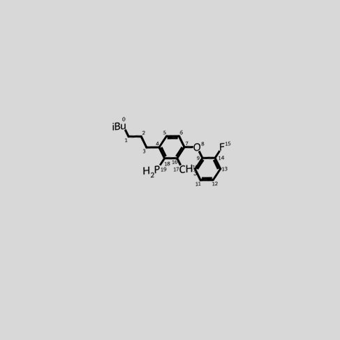 CCC(C)CCCc1ccc(Oc2ccccc2F)c(C)c1P